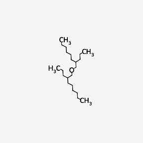 CCCCCCC(CCC)COCC(CCC)CCCCCC